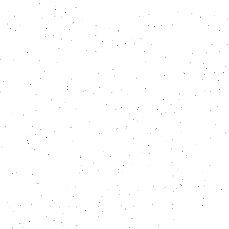 C=COCc1cccc2c(CO)cccc12